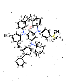 CC(C)(C)c1cc(N2c3cc(N4c5ccc(-c6ccccc6)cc5C5(C)CCCCC45C)cc4c3B3c5c(cccc5C(C)(C)c5cccc2c53)N4c2ccc(S(C)(C)C)cc2)cc(C(C)(C)C)c1